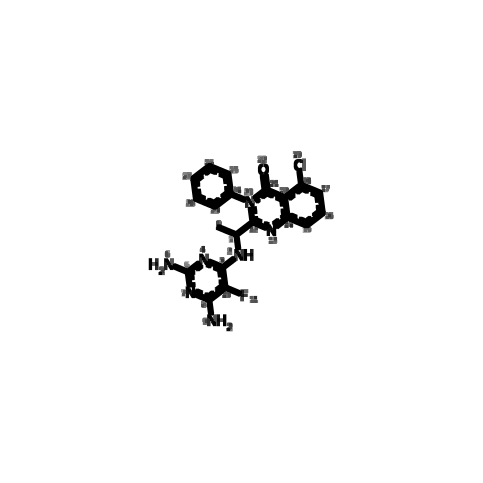 CC(Nc1nc(N)nc(N)c1F)c1nc2cccc(Cl)c2c(=O)n1-c1ccccc1